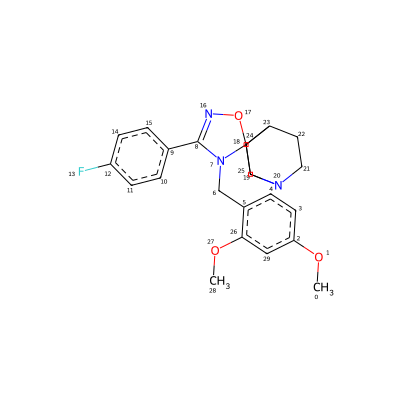 COc1ccc(CN2C(c3ccc(F)cc3)=NOC23CN2CCC3CC2)c(OC)c1